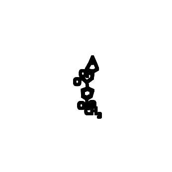 CS(=O)(=O)c1ccc(C(CC2CC3CC3C2)C(=O)O)cc1